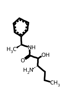 CCC[C@H](N)C(O)C(=O)N[C@@H](C)c1ccccc1